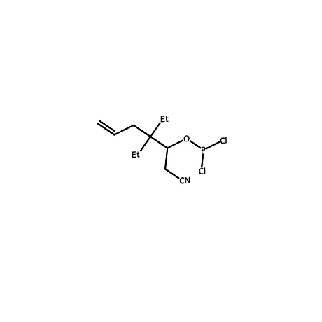 C=CCC(CC)(CC)C(CC#N)OP(Cl)Cl